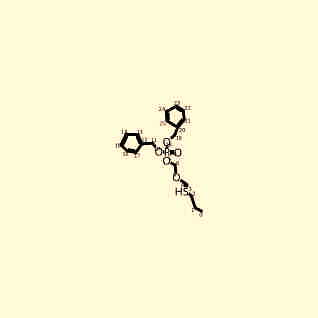 CCC[SH]=COCOP(=O)(OCc1ccccc1)OCc1ccccc1